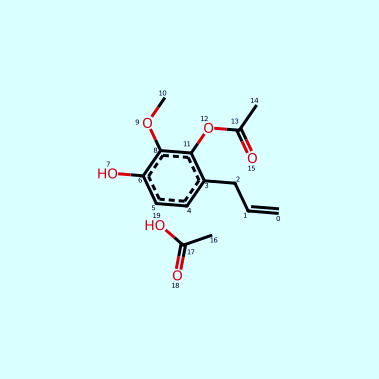 C=CCc1ccc(O)c(OC)c1OC(C)=O.CC(=O)O